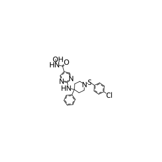 O=C(NO)c1cnc(NC2(c3ccccc3)CCN(Sc3ccc(Cl)cc3)CC2)nc1